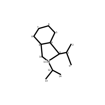 CC(C)C1C2CCCCC2CN1C(C)C